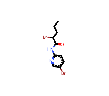 CCCC(Br)C(=O)Nc1ccc(Br)cn1